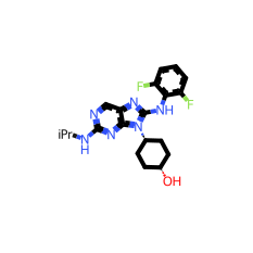 CC(C)Nc1ncc2nc(Nc3c(F)cccc3F)n([C@H]3CC[C@@H](O)CC3)c2n1